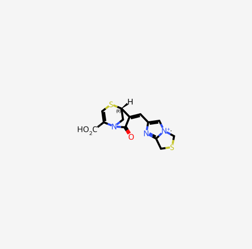 O=C(O)C1=CS[C@H]2CN1C(=O)C2=CC1=C[N+]2CSCC2=N1